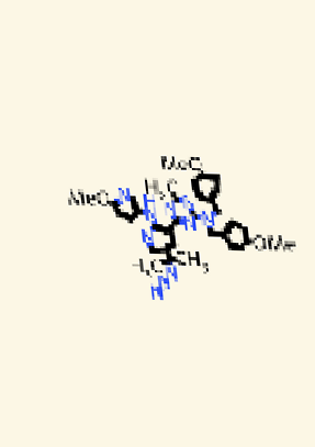 COc1ccc(CN(Cc2ccc(OC)cc2)c2nc(C)nc(-c3cc(C(C)(C)N=[N+]=[N-])cnc3Nc3ccc(OC)nc3)n2)cc1